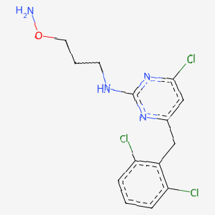 NOCCCNc1nc(Cl)cc(Cc2c(Cl)cccc2Cl)n1